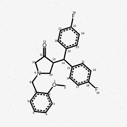 COc1ccccc1CN1CC(=O)C(C(c2ccc(F)cc2)c2ccc(F)cc2)C1